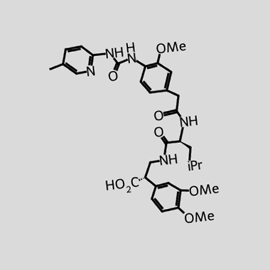 COc1cc(CC(=O)N[C@@H](CC(C)C)C(=O)NC[C@@H](C(=O)O)c2ccc(OC)c(OC)c2)ccc1NC(=O)Nc1ccc(C)cn1